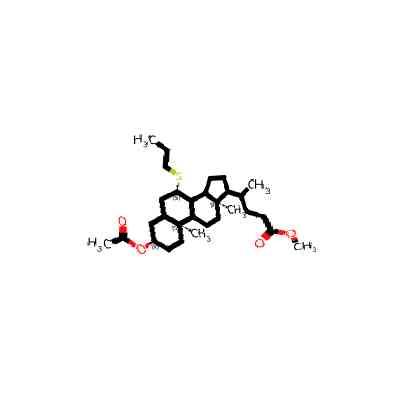 CCCS[C@H]1CC2C[C@H](OC(C)=O)CC[C@]2(C)C2CC[C@]3(C)C(C(C)CCC(=O)OC)CCC3C21